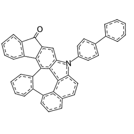 O=C1c2ccccc2-c2c1cc1c3c2-c2ccccc2-c2cccc4ccc(c3c24)n1-c1ccc(-c2ccccc2)cc1